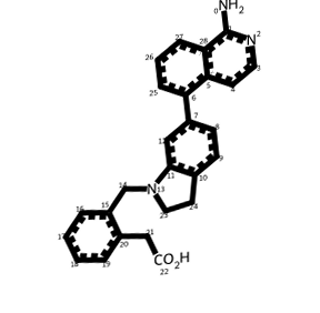 Nc1nccc2c(-c3ccc4c(c3)N(Cc3ccccc3CC(=O)O)CC4)cccc12